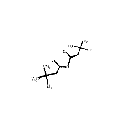 CC(C)(C)CC(Cl)OC(Cl)CC(C)(C)C